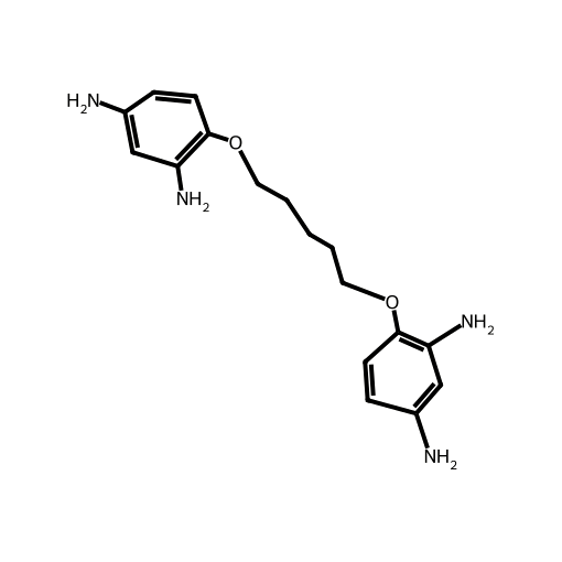 Nc1ccc(OCCCCCOc2ccc(N)cc2N)c(N)c1